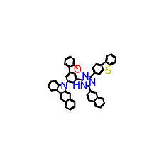 c1ccc2cc(C3N=C(c4ccc5c(c4)sc4ccccc45)N=C(c4cc(-n5c6ccccc6c6cc7ccccc7cc65)cc5c4oc4ccccc45)N3)ccc2c1